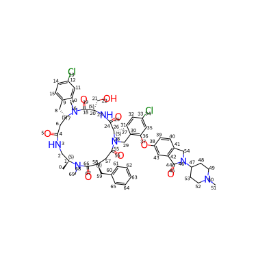 C[C@H]1CNC(=O)C[C@H](Cc2ccc(Cl)cc2)N(C)C(=O)[C@H](CO)NC(=O)[C@H](C)N(Cc2ccc(Cl)cc2Oc2ccc3c(c2)C(=O)N(C2CCN(C)CC2)C3)C(=O)C[C@@H](Cc2ccccc2)C(=O)N1C